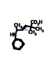 CC(/C=C/C(C)(C)C(=O)O)Nc1ccccc1